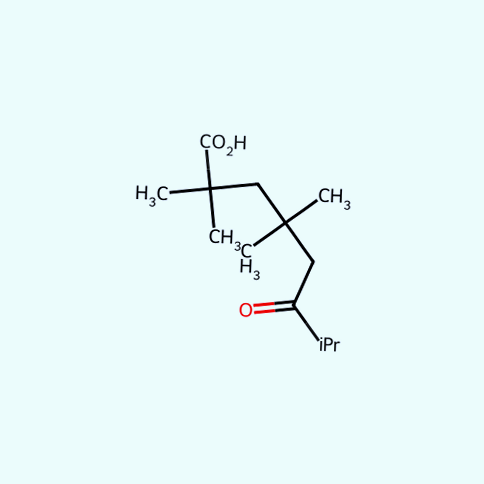 CC(C)C(=O)CC(C)(C)CC(C)(C)C(=O)O